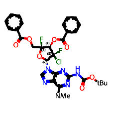 CNc1nc(NC(=O)OC(C)(C)C)nc2c1ncn2[C@@H]1O[C@](F)(COC(=O)c2ccccc2)[C@@H](OC(=O)c2ccccc2)[C@]1(F)Cl